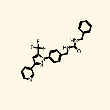 O=C(NCc1ccccc1)NCc1ccc(-n2nc(-c3cccnc3)cc2C(F)(F)F)cc1